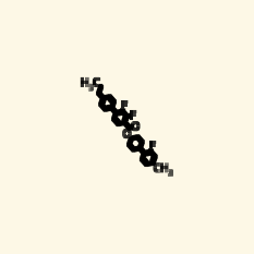 CCCc1ccc(-c2ccc(C(=O)OC3CCC(c4ccc(C)cc4F)CC3)c(F)c2F)cc1